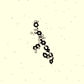 CC(C)c1ccccc1C1CN(CC2CCCC2)CCN1C1CC2(CCN(c3ccc(C(=O)NS(=O)(=O)c4ccc(NC[C@H]5CC[C@](C)(O)CC5)c([N+](=O)[O-])c4)c(Oc4cnc5[nH]ccc5c4)c3)CC2)C1